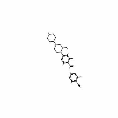 N#Cc1c(F)cc(OC(=O)c2c(F)cc3c(c2F)OCC2CC(C4CCC(P)CC4)CCC32)cc1F